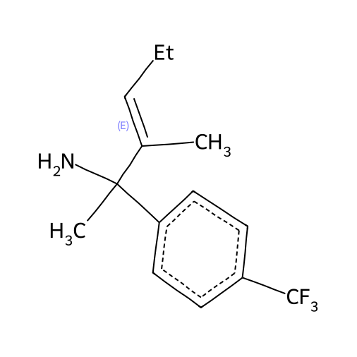 CC/C=C(\C)C(C)(N)c1ccc(C(F)(F)F)cc1